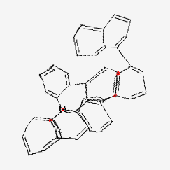 c1ccc(-c2ccccc2-c2ccccc2N(c2ccccc2)c2cccc(-c3cccc(-c4cccc5ccccc45)c3)c2)cc1